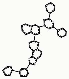 c1ccc(-c2cccc(-c3nc4ccc5cc(-c6cc(-c7nc(-c8ccccc8)nc(-c8ccccc8)n7)cc7ccccc67)ccc5c4s3)c2)cc1